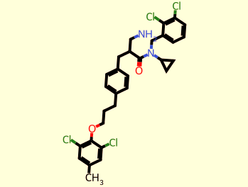 Cc1cc(Cl)c(OCCCc2ccc(CC(CN)C(=O)N(Cc3cccc(Cl)c3Cl)C3CC3)cc2)c(Cl)c1